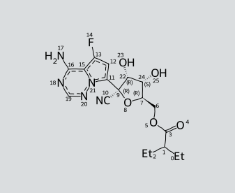 CCC(CC)C(=O)OC[C@H]1O[C@@](C#N)(c2cc(F)c3c(N)ncnn23)[C@H](O)[C@@H]1O